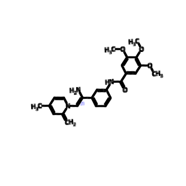 C=C1C=C(C)C=CN1/C=C(\N)c1cccc(NC(=O)c2cc(OC)c(OC)c(OC)c2)c1